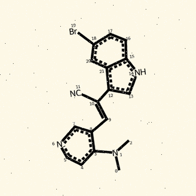 CN(C)c1ccncc1/C=C(\C#N)c1c[nH]c2ccc(Br)cc12